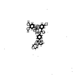 C=CC(N1CCOCC1)S(=O)(=O)c1ccc(NC(=O)c2cc(Cl)ccc2NS(=O)(=O)c2ccc(OC)c(OC)c2)cc1